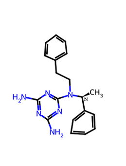 C[C@@H](c1ccccc1)N(CCc1ccccc1)c1nc(N)nc(N)n1